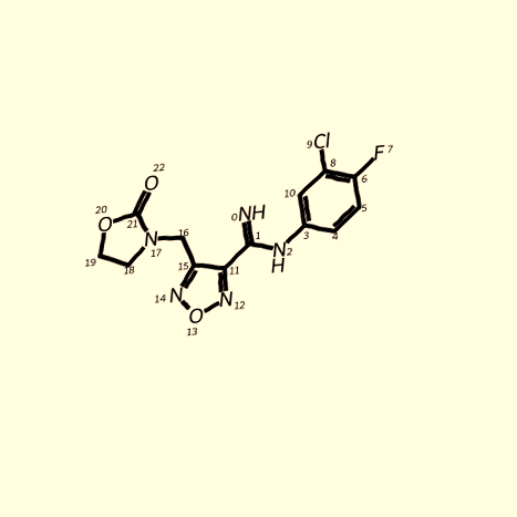 N=C(Nc1ccc(F)c(Cl)c1)c1nonc1CN1CCOC1=O